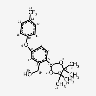 CC1(C)OB(c2ccc(Oc3ccc(C(F)(F)F)cc3)cc2CO)OC1(C)C